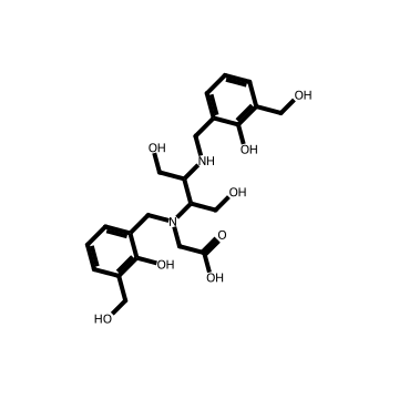 O=C(O)CN(Cc1cccc(CO)c1O)C(CO)C(CO)NCc1cccc(CO)c1O